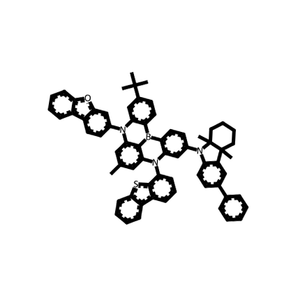 Cc1cc2c3c(c1)N(c1cccc4c1sc1ccccc14)c1cc(N4c5ccc(-c6ccccc6)cc5C5(C)CCCCC45C)ccc1B3c1ccc(C(C)(C)C)cc1N2c1ccc2c(c1)oc1ccccc12